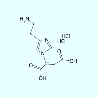 Cl.Cl.NCCc1cn(/C(=C\C(=O)O)C(=O)O)cn1